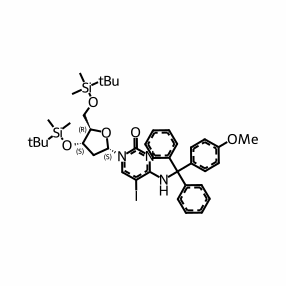 COc1ccc(C(Nc2nc(=O)n([C@@H]3C[C@H](O[Si](C)(C)C(C)(C)C)[C@@H](CO[Si](C)(C)C(C)(C)C)O3)cc2I)(c2ccccc2)c2ccccc2)cc1